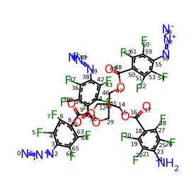 [N-]=[N+]=Nc1c(F)c(F)c(C(=O)OCC(COC(=O)c2c(F)c(F)c(N)c(F)c2F)(COC(=O)c2c(F)c(F)c(N=[N+]=[N-])c(F)c2F)COC(=O)c2c(F)c(F)c(N=[N+]=[N-])c(F)c2F)c(F)c1F